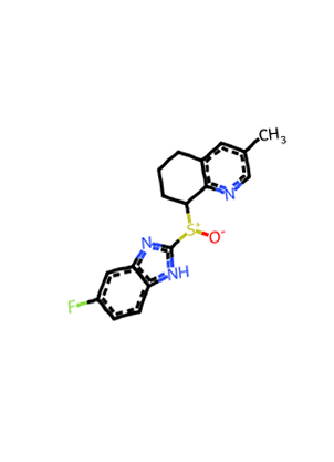 Cc1cnc2c(c1)CCCC2[S+]([O-])c1nc2cc(F)ccc2[nH]1